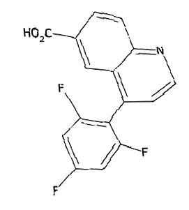 O=C(O)c1ccc2nccc(-c3c(F)cc(F)cc3F)c2c1